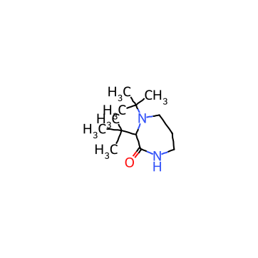 CC(C)(C)C1C(=O)NCCCN1C(C)(C)C